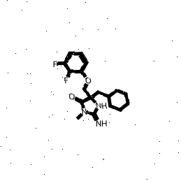 CN1C(=N)NC(COC2C=CC=C(F)C2F)(CC2CCCCC2)C1=O